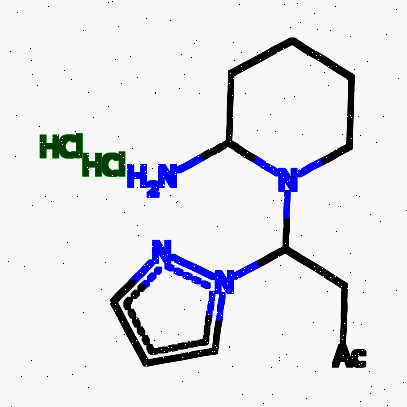 CC(=O)CC(N1CCCCC1N)n1cccn1.Cl.Cl